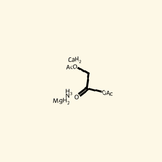 CC(=O)OCC(=O)OC(C)=O.N.[CaH2].[MgH2]